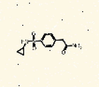 NC(=O)Cc1ccc(S(=O)(=O)NC2CC2)cc1